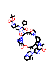 CCn1c(-c2cc(N3CCN4CCCC[C@@H]4C3)cnc2[C@H](C)OC)c2c3cc(ccc31)N1CCO[C@@H](C[C@H](NC(=O)[C@H](C3CCCC3)N3CC[C@]4(CCN(C(=O)OC(C)(C)C)C4)C3)C(=O)N3CCC[C@H](N3)C(=O)OCC(C)(C)C2)C1